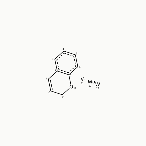 C1=Cc2ccccc2OC1.[Mo].[V].[W]